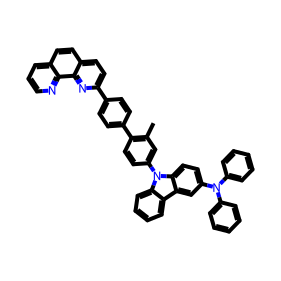 Cc1cc(-n2c3ccccc3c3cc(N(c4ccccc4)c4ccccc4)ccc32)ccc1-c1ccc(-c2ccc3ccc4cccnc4c3n2)cc1